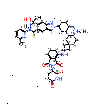 CN(CC1CCC(n2cc3cc(C(=S)Nc4cccc(C(F)(F)F)n4)c(C(C)(C)O)cc3n2)CC1)C1CCC2(CC1)CC(Nc1cccc3c1C(=O)N(C1CCC(=O)NC1=O)C3=O)C2